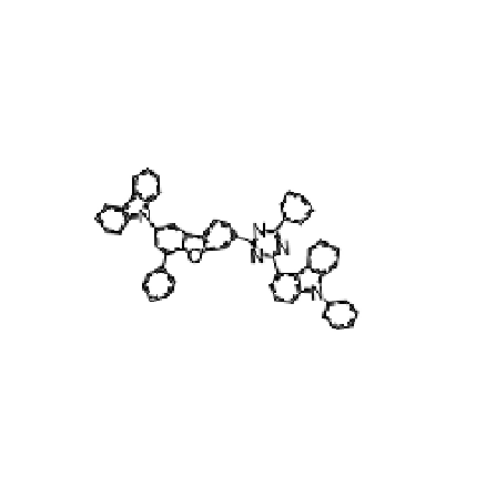 c1ccc(-c2nc(-c3ccc4c(c3)oc3c(-c5ccccc5)cc(-n5c6ccccc6c6ccccc65)cc34)nc(-c3cccc4c3c3ccccc3n4-c3ccccc3)n2)cc1